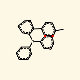 Cc1ccc(-c2ccccc2N(c2ccccc2)c2ccccc2)cc1